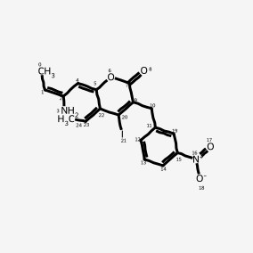 C\C=C(N)/C=c1/oc(=O)c(Cc2cccc([N+](=O)[O-])c2)c(I)/c1=C/C